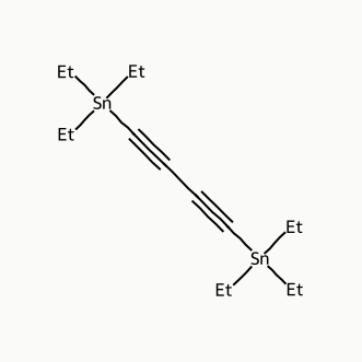 C[CH2][Sn]([C]#CC#[C][Sn]([CH2]C)([CH2]C)[CH2]C)([CH2]C)[CH2]C